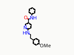 COc1ccc(CCNc2ccc(C(=O)Nc3ccccc3)cn2)cc1